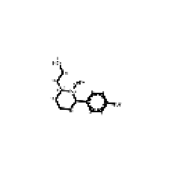 CCCN1C(c2ccc(Br)cc2)CCC[C@H]1CCO